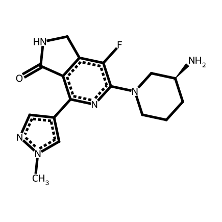 Cn1cc(-c2nc(N3CCC[C@H](N)C3)c(F)c3c2C(=O)NC3)cn1